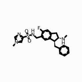 CN[C@H]1Cc2cc(F)c(CNS(=O)(=O)c3cn(C)cn3)cc2[C@@H]1Cc1ccccc1